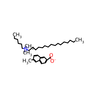 CCCCCCCCCCCCCCCC[N+](C)(C)CCCCCC.Cc1ccc2cc(C(=O)[O-])ccc2c1